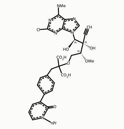 C#C[C@@](O)([C@@H](COC(Cc1ccc(-c2cccn(CCC)c2=O)cc1)(C(=O)O)C(=O)O)OC)[C@@H](O)n1cnc2c(NC)nc(Cl)nc21